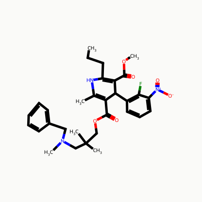 CCCC1=C(C(=O)OC)C(c2cccc([N+](=O)[O-])c2F)C(C(=O)OCC(C)(C)CN(C)Cc2ccccc2)=C(C)N1